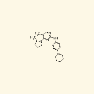 CC1CCCN1c1nc(Nc2ccc(N3CCCCC3)cc2)ncc1C(F)(F)F